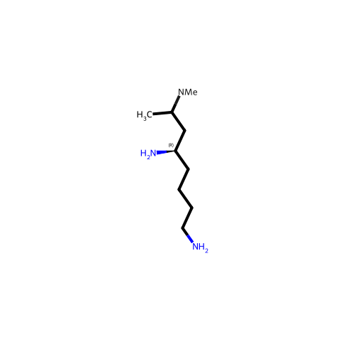 CNC(C)C[C@H](N)CCCCN